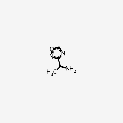 CC(N)c1ncon1